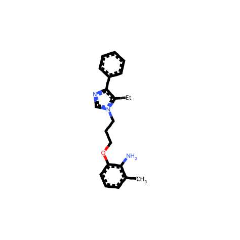 CCc1c(-c2ccccc2)ncn1CCCOc1cccc(C)c1N